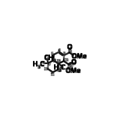 COC(=O)C1=CCC2C(C)(C)CCCC2(C)C1C(=O)OC